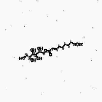 CCCCCCCCCCCCCCC/C=C/C(=O)OC[C@@H](O)[C@@H](O)[C@H](O)[C@H](O)CO